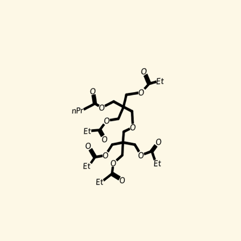 CCCC(=O)OCC(COCC(COC(=O)CC)(COC(=O)CC)COC(=O)CC)(COC(=O)CC)COC(=O)CC